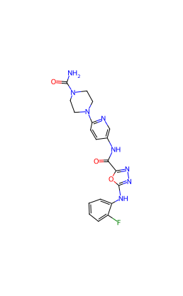 NC(=O)N1CCN(c2ccc(NC(=O)c3nnc(Nc4ccccc4F)o3)cn2)CC1